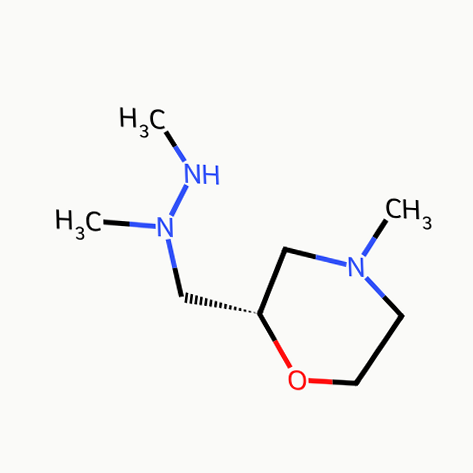 CNN(C)C[C@@H]1CN(C)CCO1